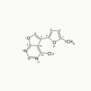 Cc1ccc(-c2coc3ncnc(Cl)c23)o1